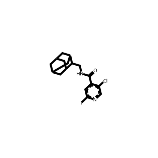 O=C(NCC1C2CC3CC(C2)CC1C3)c1cc(I)ncc1Cl